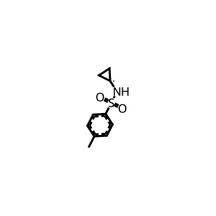 Cc1ccc(S(=O)(=O)N[C]2CC2)cc1